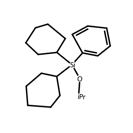 CC(C)O[Si](c1ccccc1)(C1CCCCC1)C1CCCCC1